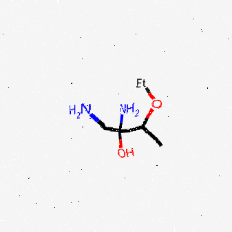 CCOC(C)C(N)(O)CN